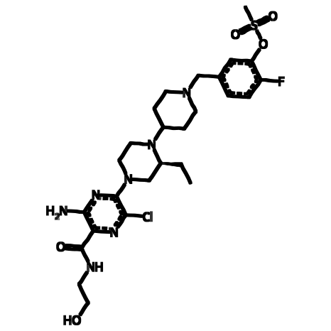 CC[C@H]1CN(c2nc(N)c(C(=O)NCCO)nc2Cl)CCN1C1CCN(Cc2ccc(F)c(OS(C)(=O)=O)c2)CC1